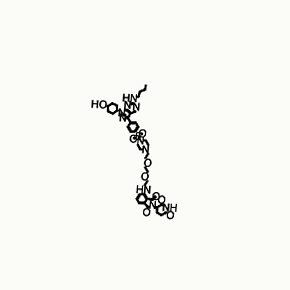 CCCCNc1ncc2c(-c3ccc(S(=O)(=O)N4CCN(CCOCCOCCNc5cccc6c5C(=O)N(C5CCC(=O)NC5=O)C6=O)CC4)cc3)nn([C@H]3CC[C@H](O)CC3)c2n1